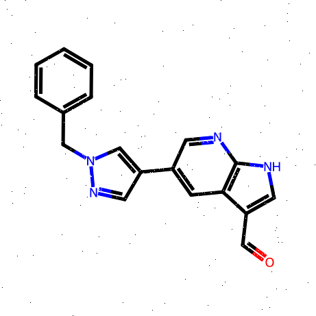 O=Cc1c[nH]c2ncc(-c3cnn(Cc4ccccc4)c3)cc12